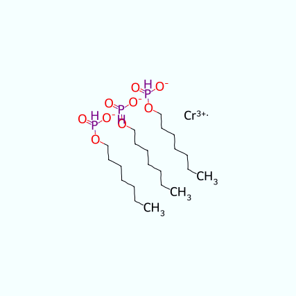 CCCCCCCO[PH](=O)[O-].CCCCCCCO[PH](=O)[O-].CCCCCCCO[PH](=O)[O-].[Cr+3]